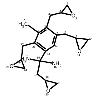 Cc1c(CC2CO2)c(CC2CO2)cc(C(N)(N)CC2CO2)c1CC1CO1